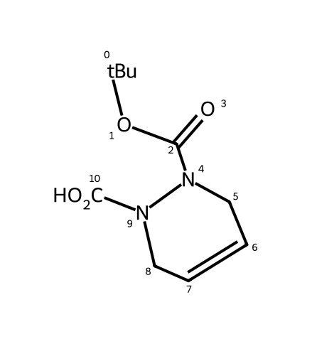 CC(C)(C)OC(=O)N1CC=CCN1C(=O)O